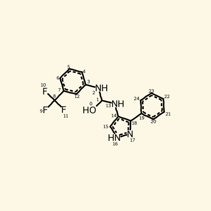 OC(Nc1cccc(C(F)(F)F)c1)Nc1c[nH]nc1-c1ccccc1